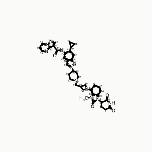 Cn1c(=O)n(C2CCC(=O)NC2=O)c2cccc(N3CC(CN4CCC(n5cc6cc(NC(=O)c7cnn8cccnc78)c(C7CC7)cc6n5)CC4)C3)c21